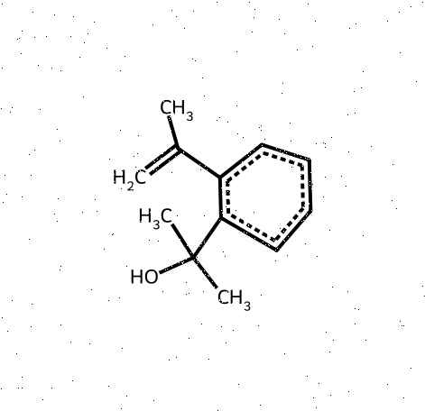 C=C(C)c1ccccc1C(C)(C)O